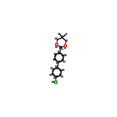 CC1(C)COB(c2ccc(-c3ccc(Cl)cc3)cc2)OC1